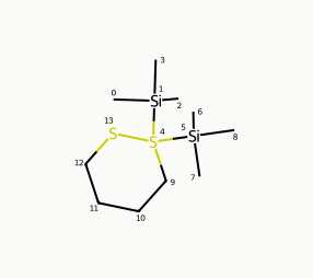 C[Si](C)(C)S1([Si](C)(C)C)CCCCS1